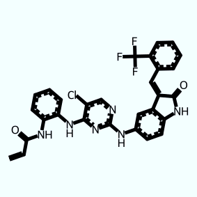 C=CC(=O)Nc1ccccc1Nc1nc(Nc2ccc3c(c2)/C(=C/c2ccccc2C(F)(F)F)C(=O)N3)ncc1Cl